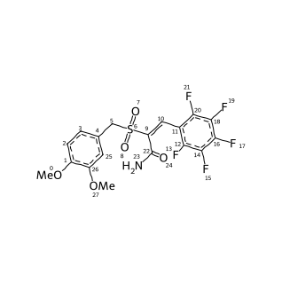 COc1ccc(CS(=O)(=O)/C(=C/c2c(F)c(F)c(F)c(F)c2F)C(N)=O)cc1OC